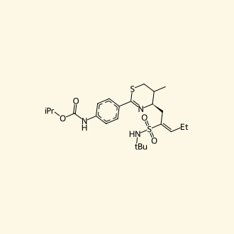 CC/C=C(\C[C@H]1N=C(c2ccc(NC(=O)OC(C)C)cc2)SCC1C)S(=O)(=O)NC(C)(C)C